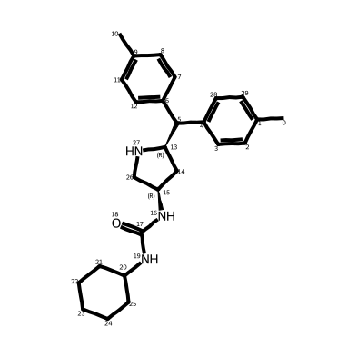 Cc1ccc(C(c2ccc(C)cc2)[C@H]2C[C@@H](NC(=O)NC3CCCCC3)CN2)cc1